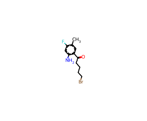 Cc1cc(C(=O)CCCCBr)c(N)cc1F